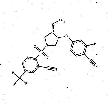 CC=C1CN(S(=O)(=O)c2ccc(C(F)(F)F)cc2C#N)CC1Oc1ccc(C#N)c(F)c1